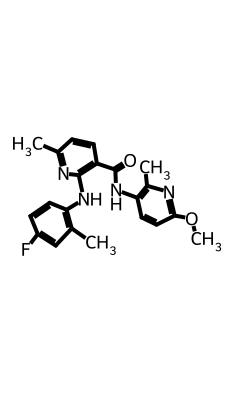 COc1ccc(NC(=O)c2ccc(C)nc2Nc2ccc(F)cc2C)c(C)n1